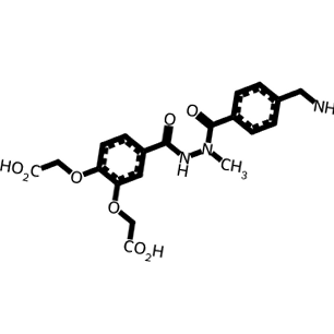 CN(NC(=O)c1ccc(OCC(=O)O)c(OCC(=O)O)c1)C(=O)c1ccc(CN)cc1